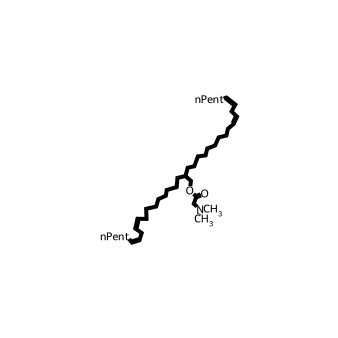 CCCCC/C=C\C/C=C\CCCCCCCCCC(CCCCCCCC/C=C\C/C=C\CCCCC)COC(=O)CN(C)C